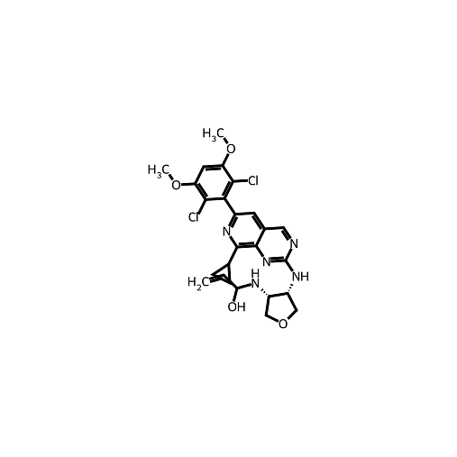 C=CC(O)N[C@H]1COC[C@H]1Nc1ncc2cc(-c3c(Cl)c(OC)cc(OC)c3Cl)nc(C3CC3)c2n1